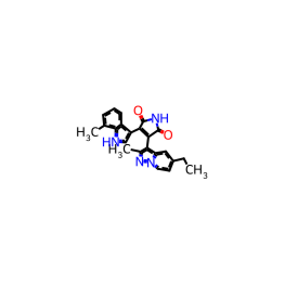 CCc1ccn2nc(C)c(C3=C(c4c[nH]c5c(C)cccc45)C(=O)NC3=O)c2c1